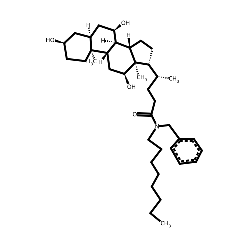 CCCCCCCCN(Cc1ccccc1)C(=O)CC[C@@H](C)[C@H]1CC[C@H]2[C@@H]3[C@H](O)C[C@@H]4C[C@H](O)CC[C@]4(C)[C@H]3C[C@H](O)[C@]12C